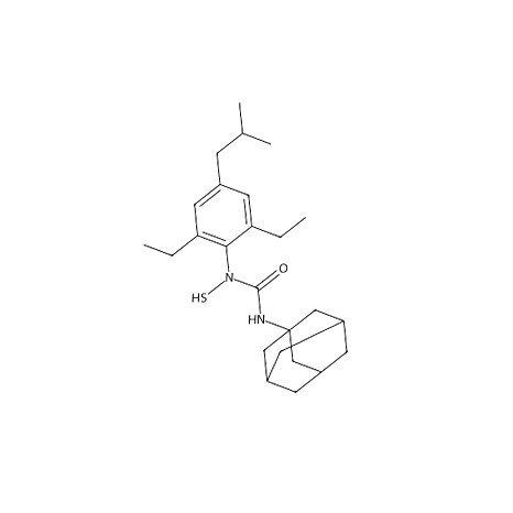 CCc1cc(CC(C)C)cc(CC)c1N(S)C(=O)NC12CC3CC(CC(C3)C1)C2